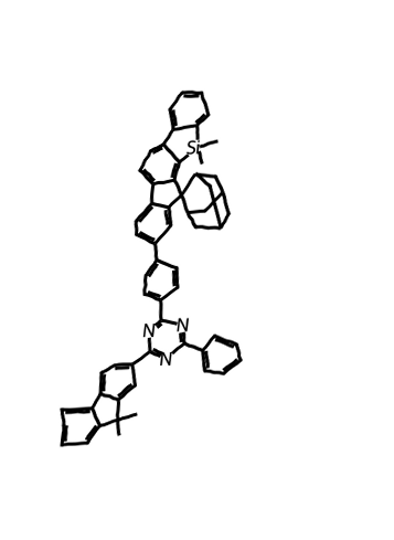 CC1(C)c2ccccc2-c2ccc(-c3nc(-c4ccccc4)nc(-c4ccc(-c5ccc6c(c5)C5(c7c-6ccc6c7[Si](C)(C)c7ccccc7-6)C6CC7CC(C6)CC5C7)cc4)n3)cc21